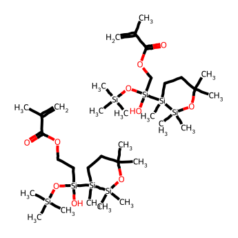 C=C(C)C(=O)OCC[Si](O)(O[Si](C)(C)C)[Si]1(C)CCC(C)(C)O[Si]1(C)C.C=C(C)C(=O)OC[Si](O)(O[Si](C)(C)C)[Si]1(C)CCC(C)(C)O[Si]1(C)C